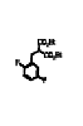 CCOC(=O)C(Cc1cc(F)ccc1F)C(=O)OCC